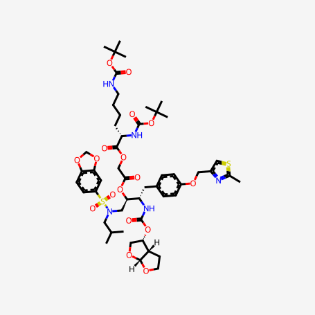 Cc1nc(COc2ccc(C[C@H](NC(=O)O[C@H]3CO[C@H]4OCC[C@H]43)[C@@H](CN(CC(C)C)S(=O)(=O)c3ccc4c(c3)OCO4)OC(=O)COC(=O)[C@H](CCCCNC(=O)OC(C)(C)C)NC(=O)OC(C)(C)C)cc2)cs1